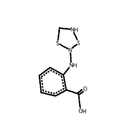 O=C(O)c1ccccc1NN1SCNS1